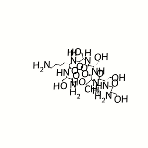 C[C@@H](O)[C@H](NC(=O)[C@H](CO)NC(=O)[C@H](N)CO)C(=O)N[C@@H](CO)C(=O)N[C@H](CO)C(=O)N[C@@H](CCCCN)C(=O)N[C@H](CO)C(N)=O